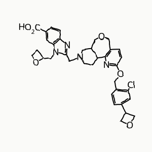 O=C(O)c1ccc2nc(CN3CCC4c5nc(OCc6ccc(C7COC7)cc6Cl)ccc5COCC4C3)n(CC3CCO3)c2c1